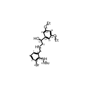 CCCCNc1c(Br)cccc1CNCC(O)c1cc(OCC)cc(OCC)c1